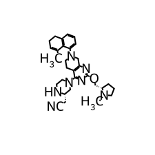 CC1=CCCc2cccc(N3CCc4c(nc(OC[C@@H]5CCCN5C)nc4N4CCN[C@@H](CC#N)C4)C3)c21